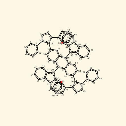 c1ccc(-c2ccc(-c3ccccc3)n2-c2ccc3c(-n4c5ccccc5c5ccccc54)c4cc(-n5c(-c6ccccc6)ccc5-c5ccccc5)ccc4c(-n4c5ccccc5c5ccccc54)c3c2)cc1